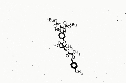 Cc1ccc(COC(C)C(=O)OCC(C)(CO)C(=O)OC2CCC(N/C(=N\C(=O)OC(C)(C)C)NC(=O)OC(C)(C)C)CC2)cc1